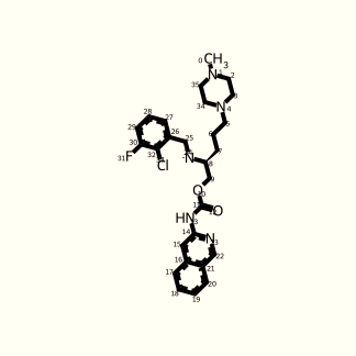 CN1CCN(CCC[C@@H](COC(=O)Nc2cc3ccccc3cn2)[N]Cc2cccc(F)c2Cl)CC1